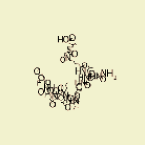 CC[C@H](C)[C@@H]([C@@H](CC(=O)N1C[C@H](OC)C[C@H]1[C@H](OC)[C@@H](C)C(=O)NCC(=O)c1ccc(OC)cc1F)OC)N(C)C(=O)[C@@H](NC(=O)[C@H](C(C)C)N(C)C(=O)OCc1ccc(NC(=O)[C@H](CCCNC(N)=O)NC(=O)[C@@H](NC(=O)CCCCCN2C(=O)CC(SCC3(CC(=O)O)CC3)C2=O)C(C)C)cc1)C(C)C